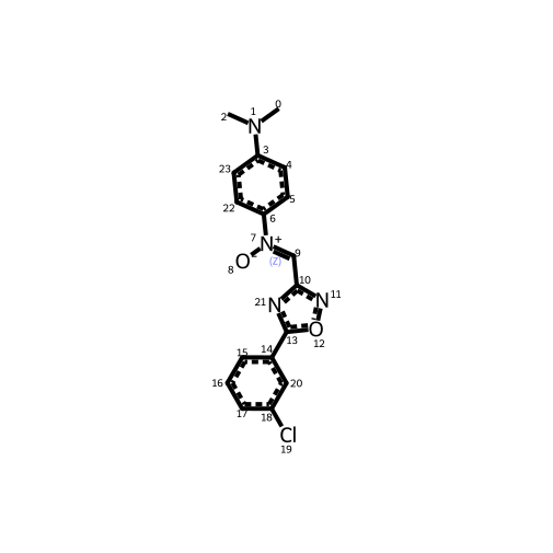 CN(C)c1ccc(/[N+]([O-])=C/c2noc(-c3cccc(Cl)c3)n2)cc1